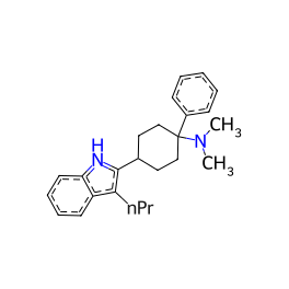 [CH2]CCc1c(C2CCC(c3ccccc3)(N(C)C)CC2)[nH]c2ccccc12